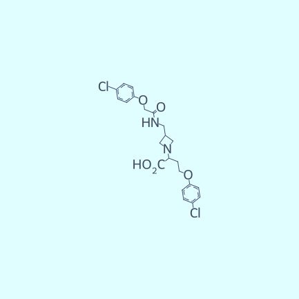 O=C(COc1ccc(Cl)cc1)NCC1CN(C(CCOc2ccc(Cl)cc2)C(=O)O)C1